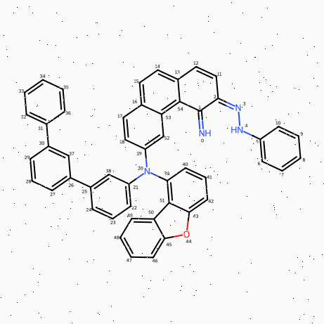 N=C1/C(=N\Nc2ccccc2)C=Cc2ccc3ccc(N(c4cccc(-c5cccc(-c6ccccc6)c5)c4)c4cccc5oc6ccccc6c45)cc3c21